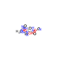 CC(C)[C@H](NC(=O)N(C)Cc1nc2ccccc2[nH]1)C(=O)N[C@@H](Cc1ccccc1)[C@@H](O)C[C@H](Cc1ccccc1)NC(=O)OCc1cccnc1